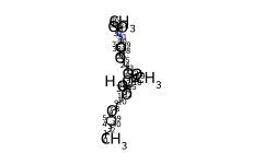 CCCC1CCC(OCCCCOC(=O)CC(C)(CC)C(=O)OCCCOc2ccc(/C=C/C(=O)OC)cc2)CC1